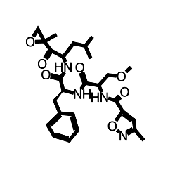 COCC(NC(=O)c1cc(C)no1)C(=O)N[C@@H](Cc1ccccc1)C(=O)NC(CC(C)C)C(=O)C1(C)CO1